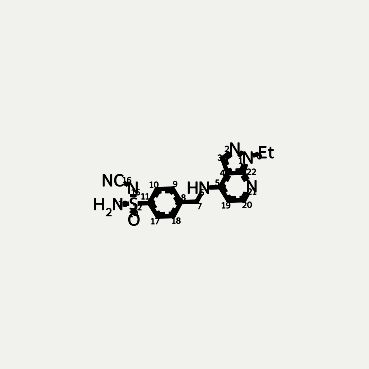 CCn1ncc2c(NCc3ccc(S(N)(=O)=NC#N)cc3)ccnc21